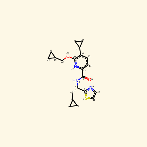 O=C(N[C@@H](CC1CC1)c1nccs1)c1ccc(C2CC2)c(OCC2CC2)n1